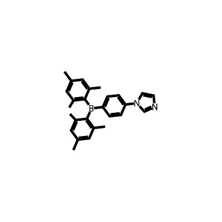 Cc1cc(C)c(B(c2ccc(-n3ccnc3)cc2)c2c(C)cc(C)cc2C)c(C)c1